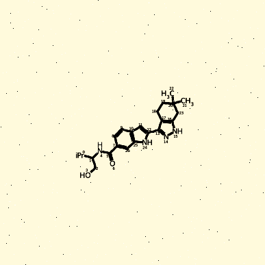 CC(C)C(CO)NC(=O)c1ccc2cc(-c3n[nH]c4c3CCC(C)(C)C4)[nH]c2c1